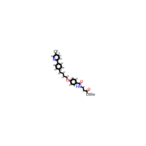 COC(=O)CCNC(=O)c1ccc(OCCCCc2ccc(-c3ccc(C(F)(F)F)cn3)cc2)cc1